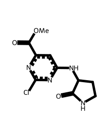 COC(=O)c1cc(NC2CCNC2=O)nc(Cl)n1